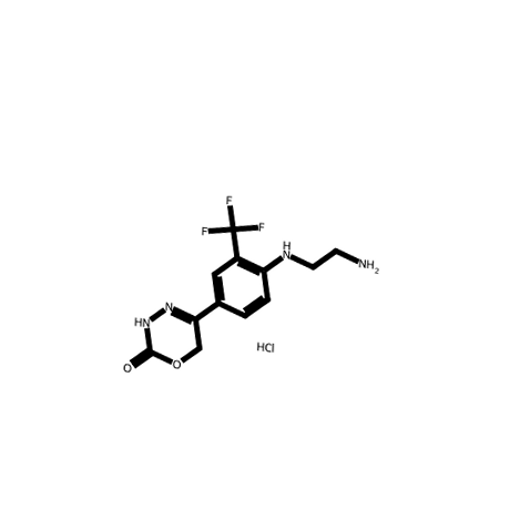 Cl.NCCNc1ccc(C2=NNC(=O)OC2)cc1C(F)(F)F